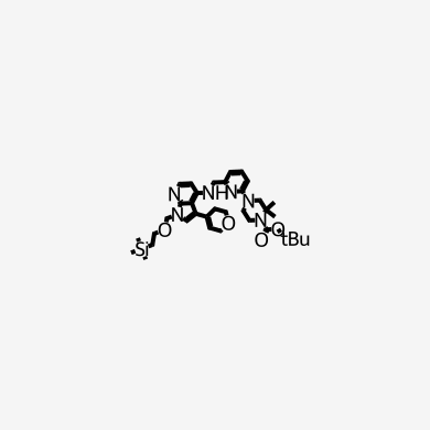 CC(C)(C)OC(=O)N1CCN(c2cccc(CNc3ccnc4c3c(C3=CCOCC3)cn4COCC[Si](C)(C)C)n2)CC1(C)C